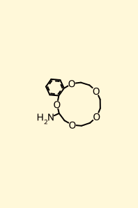 NC1COCCOCCOCCOc2ccccc2O1